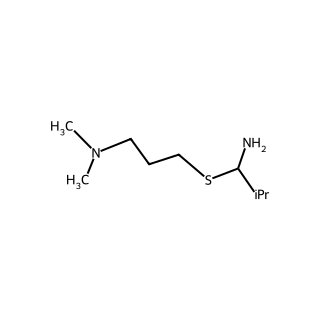 CC(C)C(N)SCCCN(C)C